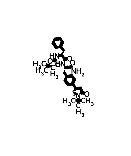 CC(C)(C)OC(=O)N[C@@H](Cc1ccccc1)C(=O)N[C@@H](Cc1ccc(-c2cc(=O)n(C(C)(C)C)s2)cc1)C(N)=O